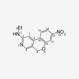 CCNc1cc2c(cn1)COc1cc([N+](=O)[O-])ccc1-2